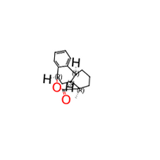 C[C@@]12CCC[C@@H]3c4ccccc4[C@@H](C[C@@H]31)OC2=O